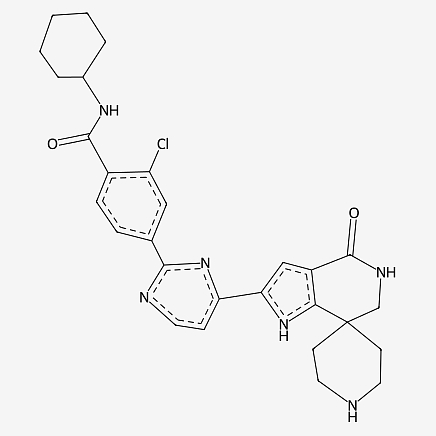 O=C(NC1CCCCC1)c1ccc(-c2nccc(-c3cc4c([nH]3)C3(CCNCC3)CNC4=O)n2)cc1Cl